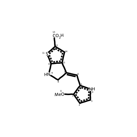 COc1cc[nH]c1C=C1CNc2sc(C(=O)O)cc21